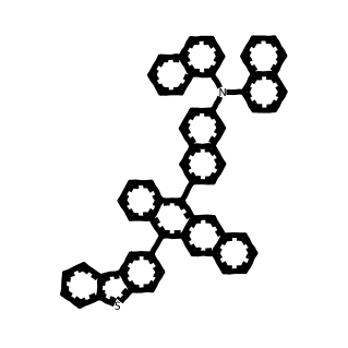 c1ccc2cc3c(-c4ccc5sc6ccccc6c5c4)c4ccccc4c(-c4ccc5cc(N(c6cccc7ccccc67)c6cccc7ccccc67)ccc5c4)c3cc2c1